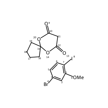 COc1cc(Br)ccc1I.O=C1CC(=O)OC2(CCCC2)O1